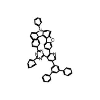 c1ccc(-c2cc(-c3ccccc3)cc(-c3cnc(-c4ccc5c(c4)oc4ccc6c(c7ccccc7n6-c6ccccc6)c45)c(-c4nc(-c5ccccc5)nc(-c5ccccc5)n4)c3)c2)cc1